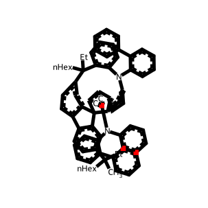 CCCCCCC(C)(CC)c1ccc2c(c1)C13c4cc(N(c5ccccc5)c5ccccc5-c5ccccc5)ccc4-c4ccc(cc41)N(c1ccccc1-c1ccccc1)c1ccccc1C(CC)(CCCCCC)c1ccc-2c3c1